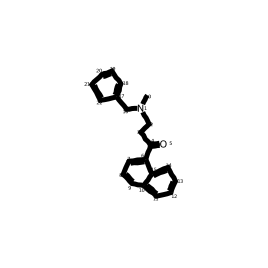 CN(CCC(=O)c1cccc2ccccc12)Cc1ccccc1